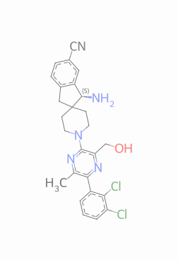 Cc1nc(N2CCC3(CC2)Cc2ccc(C#N)cc2[C@H]3N)c(CO)nc1-c1cccc(Cl)c1Cl